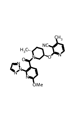 COc1ccc(C(=O)N2C[C@H](Oc3nccc(C)c3C#N)CC[C@H]2C)c(-n2nccn2)n1